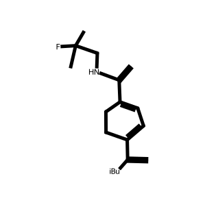 C=C(NCC(C)(C)F)C1=CC=C(C(=C)C(C)CC)CC1